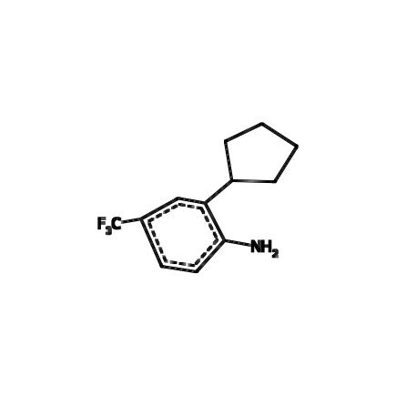 Nc1ccc(C(F)(F)F)cc1C1CCCC1